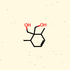 CC1C=CCC(C)C1(CO)CO